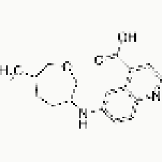 CC1CCC(Nc2ccc3nccc(C(=O)O)c3c2)COC1